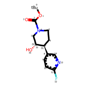 CC(C)(C)OC(=O)N1CC[C@@H](c2ccc(F)nc2)[C@H](O)C1